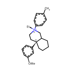 CC[N@+]1(c2ccc(C)cc2)CC[C@@]2(c3cccc(OC)c3)CCCCC2C1